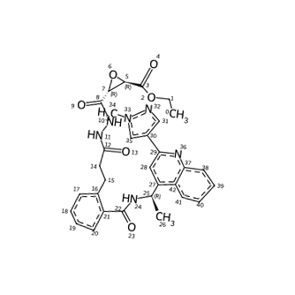 CCOC(=O)[C@@H]1O[C@H]1C(=O)NNC(=O)CCc1ccccc1C(=O)N[C@H](C)c1cc(-c2cnn(C)c2)nc2ccccc12